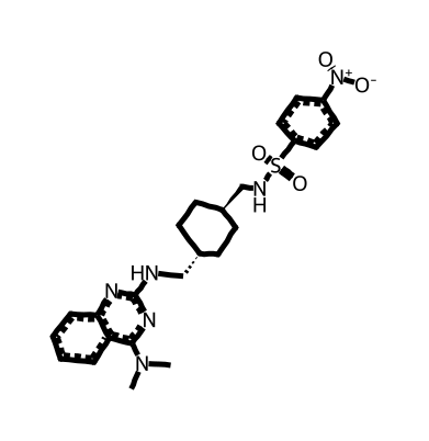 CN(C)c1nc(NC[C@H]2CC[C@H](CNS(=O)(=O)c3ccc([N+](=O)[O-])cc3)CC2)nc2ccccc12